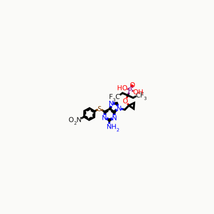 Nc1nc(Sc2ccc([N+](=O)[O-])cc2)c2ncn(CC3(OC(CC(F)(F)F)(CC(F)(F)F)P(=O)(O)O)CC3)c2n1